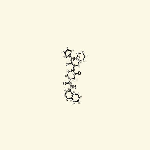 O=C(Nc1nccs1)C(CC1CCCCC1)N1CCN(C(=O)Nc2cccc3ccccc23)CC1=O